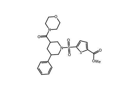 COC(=O)c1ccc(S(=O)(=O)N2CC(C(=O)N3CCOCC3)CC(c3ccccc3)C2)s1